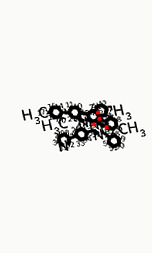 Cc1ccc(-c2ccc3c4ccc(-c5ccc(C)cc5C)cc4n(-c4cc(-c5cccnc5)ccc4-c4nc(-c5ccccc5)nc(-c5ccccc5)n4)c3c2)c(C)c1